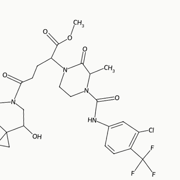 COC(=O)C(CCC(=O)N1CCC2(CC2)C(O)C1)N1CCN(C(=O)Nc2ccc(C(F)(F)F)c(Cl)c2)C(C)C1=O